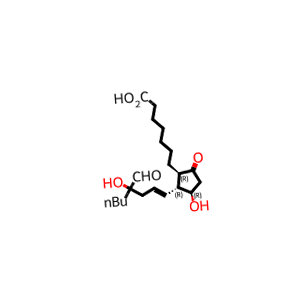 CCCCC(O)(C=O)CC=C[C@H]1[C@H](O)CC(=O)[C@@H]1CCCCCCC(=O)O